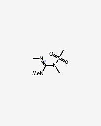 C/N=C(\NC)N(C)S(C)(=O)=O